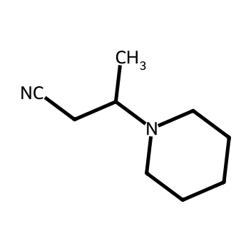 CC(CC#N)N1CCCCC1